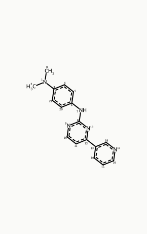 CN(C)c1ccc(Nc2nccc(-c3cccnc3)n2)cc1